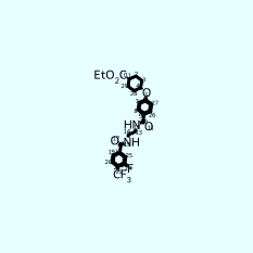 CCOC(=O)[C@H]1CC[C@@H](Oc2ccc(C(=O)NCCNC(=O)c3ccc(C(F)(F)F)c(F)c3)cc2)CC1